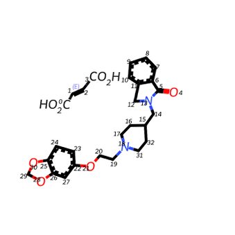 O=C(O)/C=C/C(=O)O.O=C1c2ccccc2CN1CC1CCN(CCOc2ccc3c(c2)OCO3)CC1